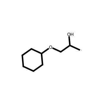 [CH2]C(O)COC1CCCCC1